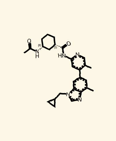 CC(=O)N[C@@H]1CCC[C@H](C(=O)Nc2cc(-c3cc(C)c4ncn(CC5CC5)c4c3)c(C)cn2)C1